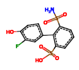 NS(=O)(=O)c1cccc(S(=O)(=O)O)c1-c1ccc(O)c(F)c1